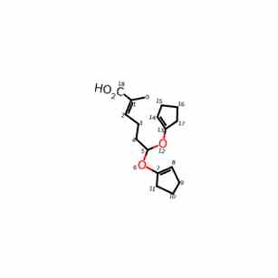 CC(=CCCC(OC1=CCCC1)OC1=CCCC1)C(=O)O